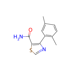 Cc1ccc(C)c(-c2ncsc2C(N)=O)c1